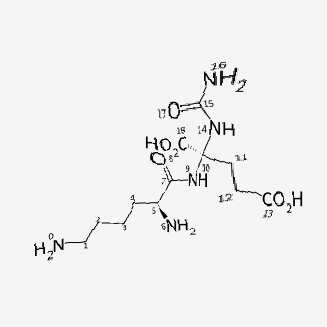 NCCCC[C@H](N)C(=O)N[C@](CCC(=O)O)(NC(N)=O)C(=O)O